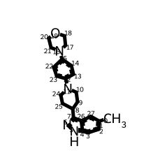 Cc1ccc2[nH]nc(C3CCN(c4ccc(N5CCOCC5)cc4)CC3)c2c1